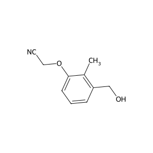 Cc1c(CO)cccc1OCC#N